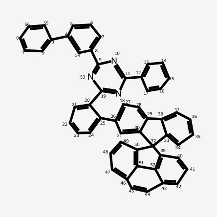 c1ccc(-c2cccc(-c3nc(-c4ccccc4)nc(-c4ccccc4-c4ccc5c(c4)C4(c6ccccc6-5)c5cccc6ccc7cccc4c7c56)n3)c2)cc1